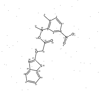 Cc1ccc([N+](=O)[O-])cc1N(C)OC(=O)COc1nc2ccccc2s1